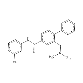 CN(C)Cc1cc(C(=O)Nc2cccc(O)c2)ccc1-c1ccccc1